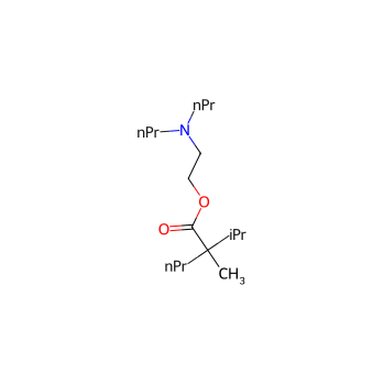 CCCN(CCC)CCOC(=O)C(C)(CCC)C(C)C